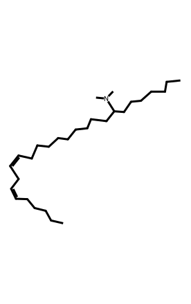 CCCCC/C=C\C/C=C\CCCCCCCCCC(CCCCCCC)N(C)C